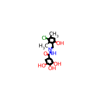 Cc1cc(O)c(/C=N/NC(=O)c2cc(O)c(O)c(O)c2)c(C)c1Cl